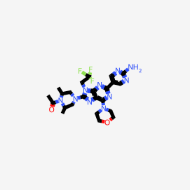 CC(=O)N1C(C)CN(c2nc3c(N4CCOCC4)nc(-c4cnc(N)nc4)nc3n2CC(F)(F)F)CC1C